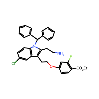 CCOC(=O)c1ccc(OCCc2c(CCN)n(C(c3ccccc3)c3ccccc3)c3ccc(Cl)cc23)cc1F